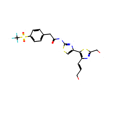 O=C(Cc1ccc(S(=O)(=O)C(F)(F)F)cc1)Nc1nc(-c2sc(CO)nc2/C=C/CO)cs1